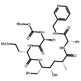 CSCC[C@H](NC(=O)[C@@H](NC(=O)OC(C)(C)C)C(C)C)C(=O)N[C@@H](CC(C)C)[C@@H](O)C[C@@H](C)C(=O)N[C@H](C(=O)NCc1cccnc1)C(C)C